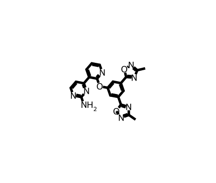 Cc1noc(-c2cc(Oc3ncccc3-c3ccnc(N)n3)cc(-c3nc(C)no3)c2)n1